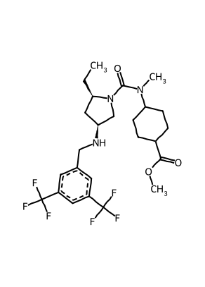 CC[C@@H]1C[C@H](NCc2cc(C(F)(F)F)cc(C(F)(F)F)c2)CN1C(=O)N(C)C1CCC(C(=O)OC)CC1